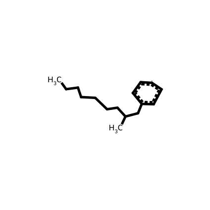 CCCCCCCC(C)Cc1cc[c]cc1